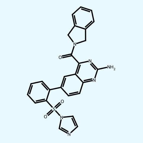 Nc1nc(C(=O)N2Cc3ccccc3C2)c2cc(-c3ccccc3S(=O)(=O)n3ccnc3)ccc2n1